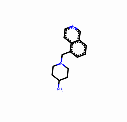 NC1CCN(Cc2cccc3cnccc23)CC1